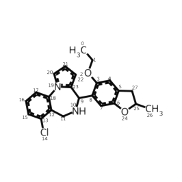 CCOc1cc2c(cc1C1NCc3c(Cl)cccc3-n3cccc31)OC(C)C2